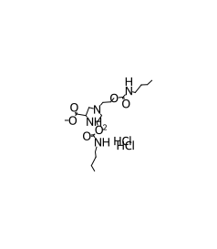 CCCCNC(=O)OCCN(CCOC(=O)NCCCC)CC(N)C(=O)OC.Cl.Cl